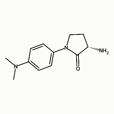 CN(C)c1ccc(N2CC[C@H](N)C2=O)cc1